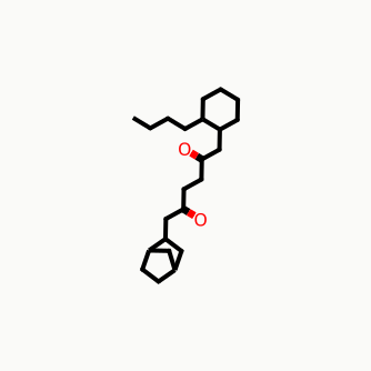 CCCCC1CCCCC1CC(=O)CCC(=O)CC1CC2CCC1C2